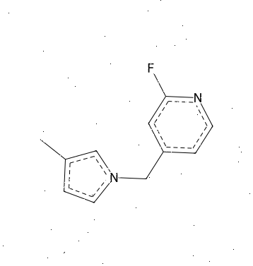 Cc1ccn(Cc2ccnc(F)c2)c1